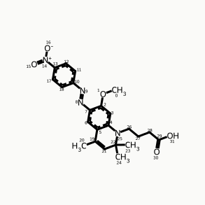 COc1cc2c(cc1N=Nc1ccc([N+](=O)[O-])cc1)C(C)=CC(C)(C)N2CCCC(=O)O